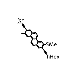 CCCCCCC#Cc1cc2ccc3c4cc(C)c(C#C[Si](C)(C)C)cc4ccc3c2cc1SC